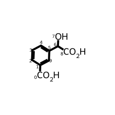 O=C(O)c1cccc(C(O)C(=O)O)c1